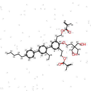 C=C(C)C(=O)OCCc1cc(-c2ccc(-c3ccc(CCCCC)cc3)cc2CC)cc(CCOC(=O)C(=C)C)c1OCCC(CC)(CO)CO